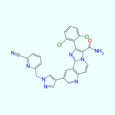 N#Cc1cccc(Cn2cc(-c3cnc4ccn5c(C(N)=O)c(-c6c(Cl)cccc6Cl)nc5c4c3)cn2)n1